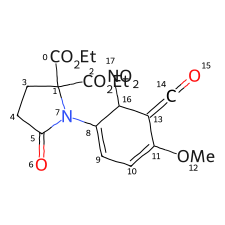 CCOC(=O)C1(C(=O)OCC)CCC(=O)N1C1=CC=C(OC)C(=C=O)C1[N+](=O)[O-]